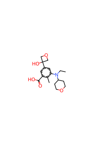 CCN(c1cc(C2(O)COC2)cc(C(=O)O)c1C)C1CCOCC1